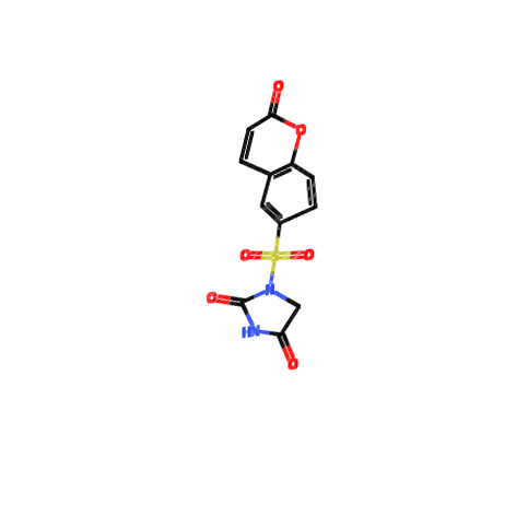 O=C1CN(S(=O)(=O)c2ccc3oc(=O)ccc3c2)C(=O)N1